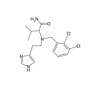 CC(C)C(C(N)=O)N(CCc1c[nH]cn1)Cc1cccc(Cl)c1Cl